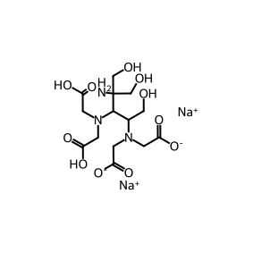 NC(CO)(CO)C(C(CO)N(CC(=O)[O-])CC(=O)[O-])N(CC(=O)O)CC(=O)O.[Na+].[Na+]